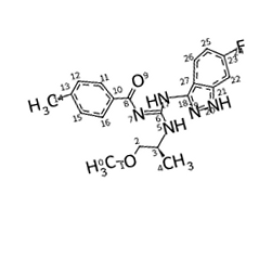 COC[C@H](C)N/C(=N/C(=O)c1ccc(C)cc1)Nc1n[nH]c2cc(F)ccc12